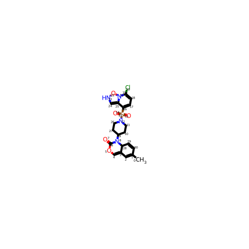 CC1=CC2=COC(=O)N(C3CCN(S(=O)(=O)C4=CC=C(Cl)N5ONC=C45)CC3)C2C=C1